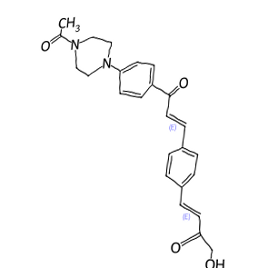 CC(=O)N1CCN(c2ccc(C(=O)/C=C/c3ccc(/C=C/C(=O)CO)cc3)cc2)CC1